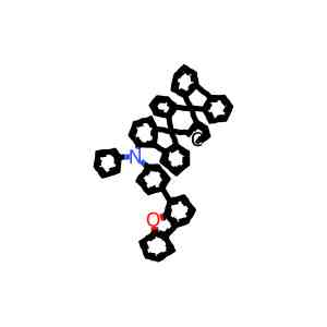 c1ccc(N(c2ccc(-c3cccc4c3oc3ccccc34)cc2)c2cccc3c2-c2ccccc2C32c3ccccc3C3(c4ccccc4-c4ccccc43)c3ccccc32)cc1